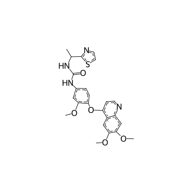 COc1cc2nccc(Oc3ccc(NC(=O)NC(C)c4nccs4)cc3OC)c2cc1OC